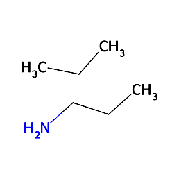 CCC.CCCN